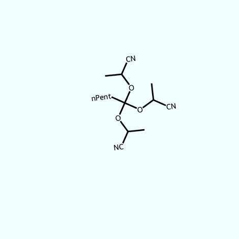 CCCCCC(OC(C)C#N)(OC(C)C#N)OC(C)C#N